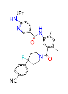 Cc1cc(C)c(C(=O)N2CCC(F)(c3ccc(C#N)cc3)CC2)cc1NC(=O)c1ccc(NC(C)C)nc1